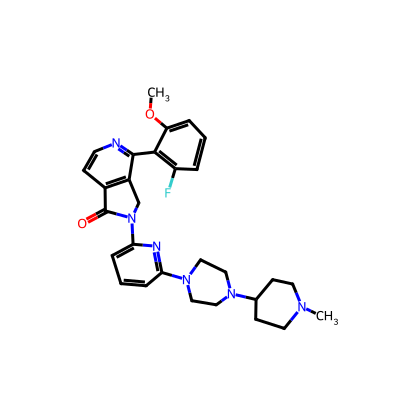 COc1cccc(F)c1-c1nccc2c1CN(c1cccc(N3CCN(C4CCN(C)CC4)CC3)n1)C2=O